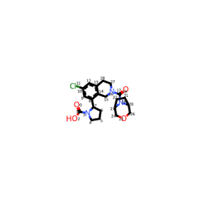 O=C(O)N1CCCC1c1cc(Cl)cc2c1CN(C(=O)N1C3CCC1COC3)CC2